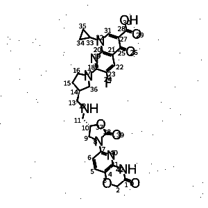 O=C1COc2ccc(N3C[C@H](CNC[C@H]4CCN(c5nc6c(cc5F)c(=O)c(C(=O)O)cn6C5CC5)C4)OC3=O)nc2N1